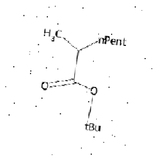 CCCCCC(C)C(=O)OC(C)(C)C